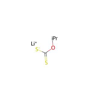 CC(C)OC(=S)[S-].[Li+]